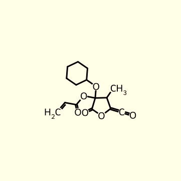 C=CC(=O)OC1(OC2CCCCC2)C(=O)OC(=C=O)C1C